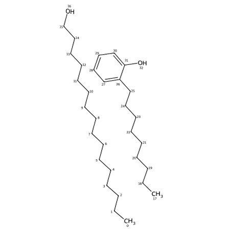 CCCCCCCCCCCCCCCCO.CCCCCCCCCc1ccccc1O